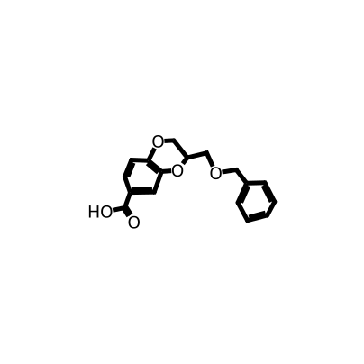 O=C(O)c1ccc2c(c1)OC(COCc1ccccc1)CO2